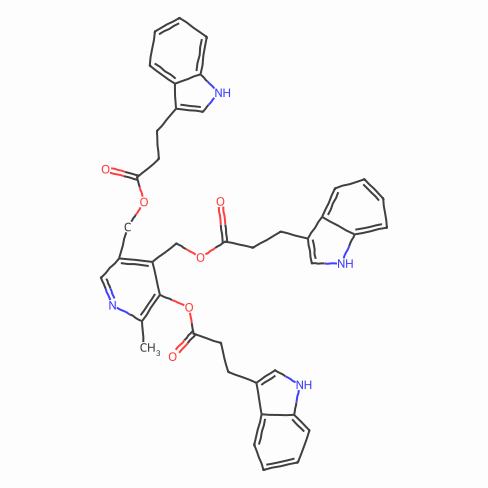 Cc1ncc(COC(=O)CCc2c[nH]c3ccccc23)c(COC(=O)CCc2c[nH]c3ccccc23)c1OC(=O)CCc1c[nH]c2ccccc12